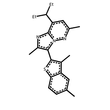 CCC(CC)c1cc(C)nn2c(-c3sc4ccc(C)cc4c3C)c(C)nc12